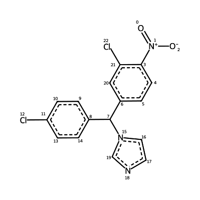 O=[N+]([O-])c1ccc(C(c2ccc(Cl)cc2)n2ccnc2)cc1Cl